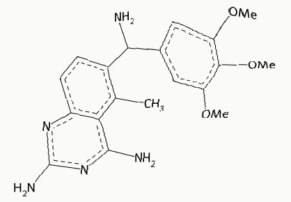 COc1cc(C(N)c2ccc3nc(N)nc(N)c3c2C)cc(OC)c1OC